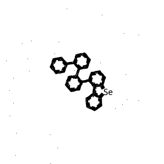 c1ccc(-c2ccccc2-c2ccccc2-c2cccc3[se]c4ccccc4c23)cc1